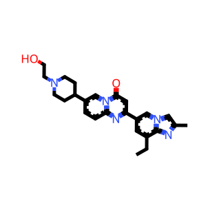 CCc1cc(-c2cc(=O)n3cc(C4CCN(CCO)CC4)ccc3n2)cn2cc(C)nc12